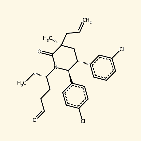 C=CC[C@@]1(C)C[C@H](c2cccc(Cl)c2)[C@@H](c2ccc(Cl)cc2)N([C@@H](CC)CCC=O)C1=O